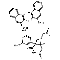 COc1cc(OC)cc(C2(CCCN(C)C)C(=O)NC(=O)CC2(C)C)c1.O=C(O)c1cc2ccccc2c(Cc2c(O)c(C(=O)O)cc3ccccc23)c1O